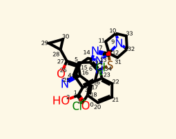 O=C(O)c1ccc2nc(N3C4CC(NCc5c(-c6c(Cl)cccc6Cl)noc5C5CC5)CC3C4)sc2c1